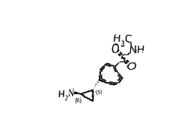 CNS(=O)(=O)c1ccc([C@@H]2C[C@H]2N)cc1